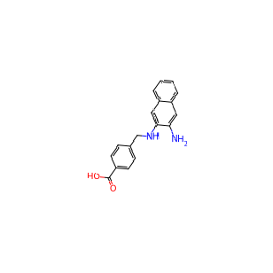 Nc1cc2ccccc2cc1NCc1ccc(C(=O)O)cc1